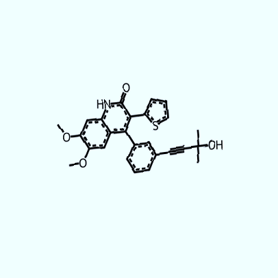 COc1cc2[nH]c(=O)c(-c3cccs3)c(-c3cccc(C#CC(C)(C)O)c3)c2cc1OC